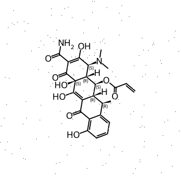 C=CC(=O)O[C@H]1[C@H]2C(=C(O)[C@]3(O)C(=O)C(C(N)=O)=C(O)[C@@H](N(C)C)[C@H]13)C(=O)c1c(O)cccc1[C@@H]2C